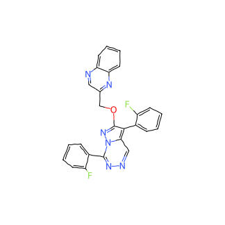 Fc1ccccc1-c1c(OCc2cnc3ccccc3n2)nn2c(-c3ccccc3F)nncc12